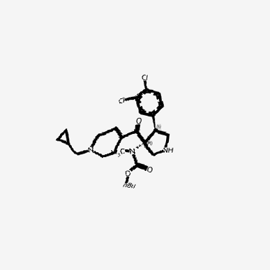 CCCCOC(=O)N(C)[C@@]1(C(=O)C2CCN(CC3CC3)CC2)CNC[C@@H]1c1ccc(Cl)c(Cl)c1